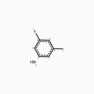 Br.Cc1cccc(F)c1